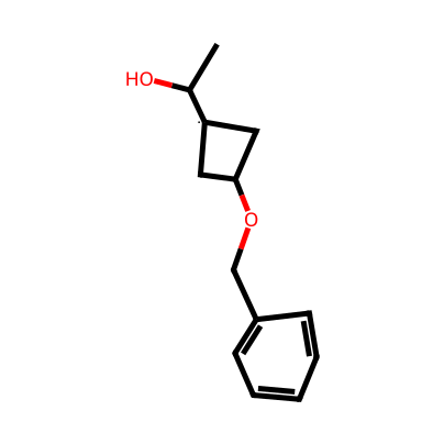 CC(O)[C]1CC(OCc2ccccc2)C1